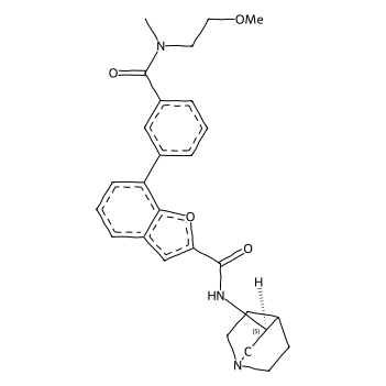 COCCN(C)C(=O)c1cccc(-c2cccc3cc(C(=O)N[C@@H]4CN5CCC4CC5)oc23)c1